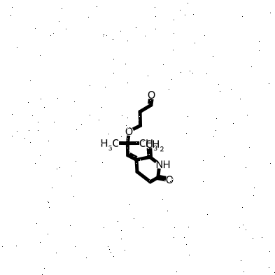 C=C1NC(=O)CC/C1=C/C(C)(C)OCCC=O